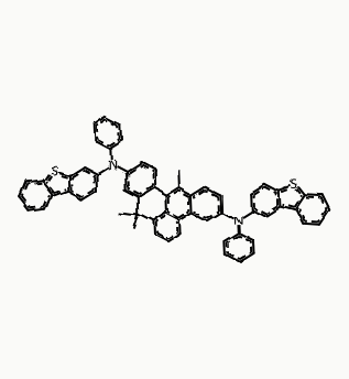 Cc1c2c3c(cccc3c3cc(N(c4ccccc4)c4ccc5sc6ccccc6c5c4)ccc13)C(C)(C)c1cc(N(c3ccccc3)c3ccc4c(c3)sc3ccccc34)ccc1-2